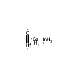 [GaH3].[InH3].[O]=[Hf]